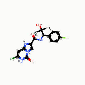 CC(C)(O)C(NC(=O)c1cn2c(=O)[nH]c(Cl)cc2n1)c1ccc(F)cc1